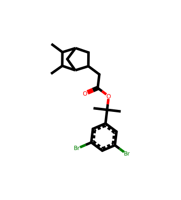 CC1C2CC(CC(=O)OC(C)(C)c3cc(Br)cc(Br)c3)C(C2)C1C